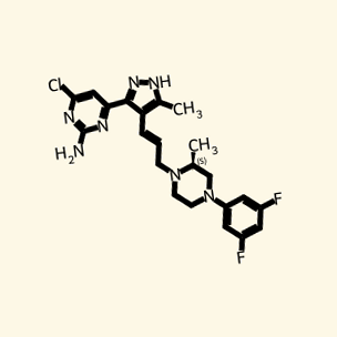 Cc1[nH]nc(-c2cc(Cl)nc(N)n2)c1C=CCN1CCN(c2cc(F)cc(F)c2)C[C@@H]1C